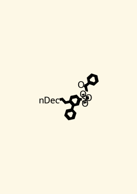 CCCCCCCCCCCCc1ccc(S(=O)(=O)OCC(=O)c2ccccc2)cc1-c1ccccc1